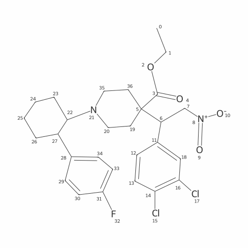 CCOC(=O)C1(C(C[N+](=O)[O-])c2ccc(Cl)c(Cl)c2)CCN(C2CCCCC2c2ccc(F)cc2)CC1